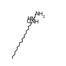 CCCCCCCCCCCCCCCCCC(=O)NNCCN